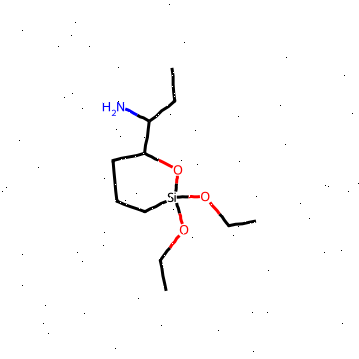 CCO[Si]1(OCC)CCCC(C(N)CC)O1